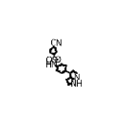 N#Cc1ccc(S(=O)(=O)Nc2ccc(-c3ccnc4[nH]ccc34)cc2)cc1